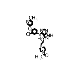 CC(=O)N1CCN(CCOc2n[nH]c3ncnc(Nc4ccc(Oc5ccc(C)nc5)c(Cl)c4)c23)CC1